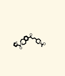 CC(=O)N1CCC(CCC(=O)c2ccc3c(c2)CCN(C(=O)c2cccs2)CC3)CC1